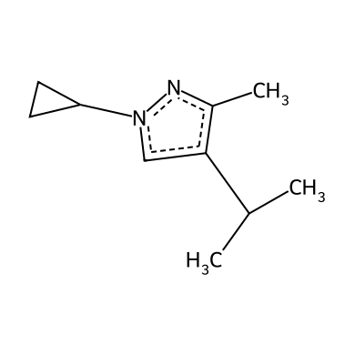 Cc1nn(C2CC2)cc1C(C)C